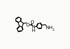 NCc1ccc(NC(=O)OCC2c3ccccc3-c3ccccc32)cc1